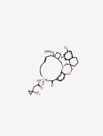 CO[C@H]1/C=C/CCCS(=O)(NC(=O)CC2(C(F)(F)F)CC2)=NC(=O)c2ccc3c(c2)N(C[C@@H]2CC[C@H]21)C[C@@]1(CCCc2cc(Cl)ccc21)CO3